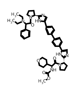 CCN(CC)C(C(=O)N1CCC[C@H]1c1ncc(-c2ccc(-c3ccc(-c4cnc([C@@H]5CCCN5C(=O)[C@@H](NC(=O)OC)C5CCOCC5)[nH]4)cc3)cc2)[nH]1)c1ccccc1